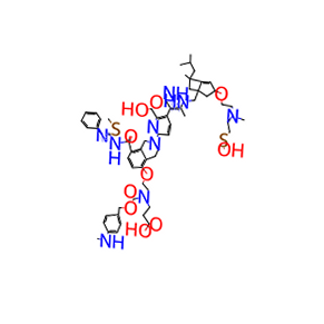 CNc1ccc(COC(=O)N(CCOc2ccc(C(=O)N/C(=N/c3ccccc3)SC)c3c2CCN(c2ccc(/C(C=N)=C(\C)NCC45CC(OCCN(C)CCSO)C=C4C(C)(CC(C)C)C5)c(C(=O)O)n2)C3)CCC(=O)O)cc1